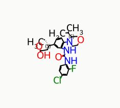 CC[C@@H](CC(=O)O)c1ccc(N2CCOC[C@@H]2C(C)C)c(NC(=O)Nc2ccc(Cl)cc2F)c1